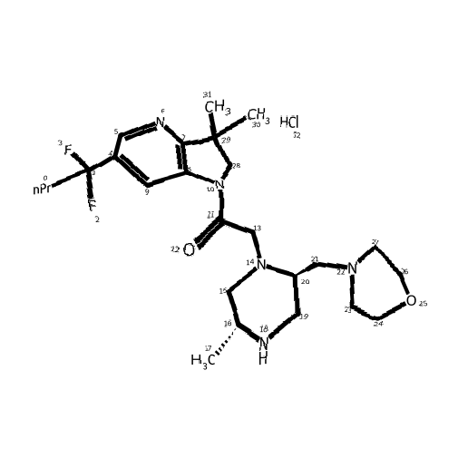 CCCC(F)(F)c1cnc2c(c1)N(C(=O)CN1C[C@@H](C)NC[C@@H]1CN1CCOCC1)CC2(C)C.Cl